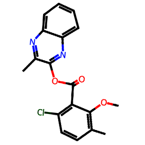 COc1c(C)ccc(Cl)c1C(=O)Oc1nc2ccccc2nc1C